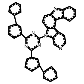 c1ccc(-c2cccc(-c3nc(-c4cccc(-c5ccccc5)c4)nc(-n4c5cnccc5c5c6c(ccc54)sc4ccccc46)n3)c2)cc1